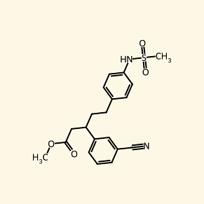 COC(=O)CC(CCc1ccc(NS(C)(=O)=O)cc1)c1cccc(C#N)c1